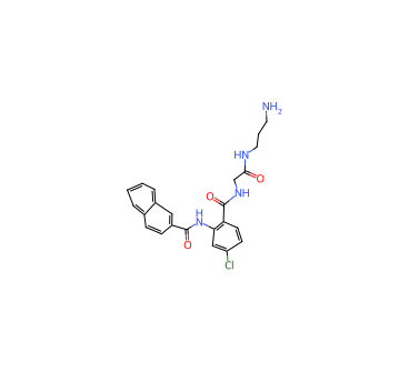 NCCCNC(=O)CNC(=O)c1ccc(Cl)cc1NC(=O)c1ccc2ccccc2c1